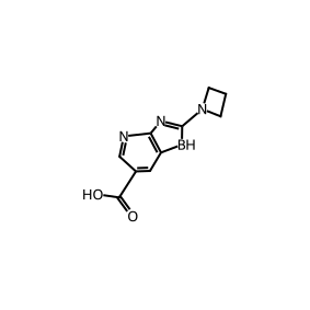 O=C(O)c1cnc2c(c1)BC(N1CCC1)=N2